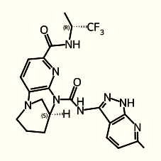 Cc1ccc2c(NC(=O)N3c4nc(C(=O)N[C@H](C)C(F)(F)F)ccc4N4CCC[C@H]3C4)n[nH]c2n1